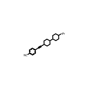 CCCC1CCC(C2CCC(C#Cc3ccc(C#N)cc3)CC2)CC1